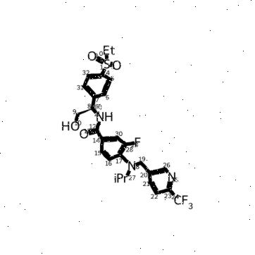 CCS(=O)(=O)c1ccc([C@H](CO)NC(=O)c2ccc(N(Cc3ccc(C(F)(F)F)nc3)C(C)C)c(F)c2)cc1